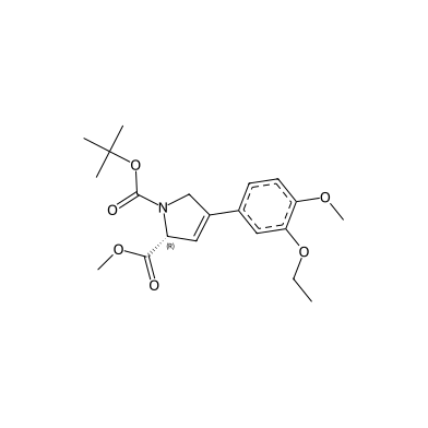 CCOc1cc(C2=C[C@H](C(=O)OC)N(C(=O)OC(C)(C)C)C2)ccc1OC